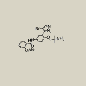 COc1ccccc1C(=O)Nc1ccc(OCC(C)(C)N)c(-c2c(Br)cnn2C)c1